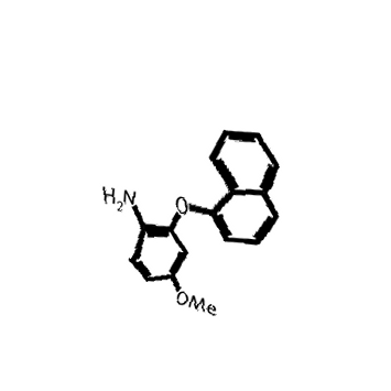 COc1ccc(N)c(Oc2cccc3ccccc23)c1